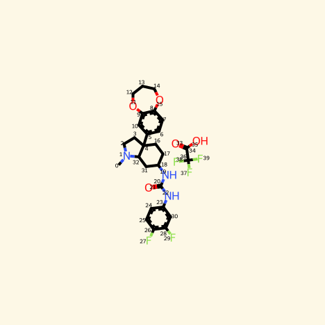 CN1CCC2(c3ccc4c(c3)OCCCO4)CCC(NC(=O)Nc3ccc(F)c(F)c3)CC12.O=C(O)C(F)(F)F